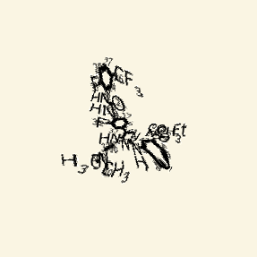 CCOC(=O)N=S(C)(=O)c1cccc(Nc2ncc(-c3ccc(NC(=O)Nc4cc(C(F)(F)F)ccc4F)c(F)c3)c(NCCN(C)C)n2)c1